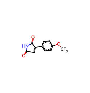 O=C1C=C(c2ccc(OC(F)(F)F)cc2)C(=O)N1